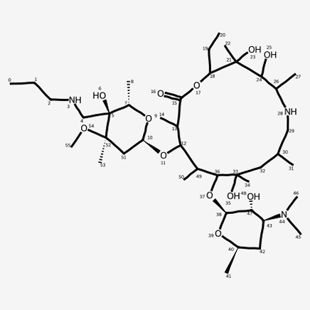 CCCNC[C@]1(O)[C@H](C)O[C@@H](OC2C(C)C(=O)OC(CC)C(C)(O)C(O)C(C)NCC(C)CC(C)(O)C(O[C@@H]3O[C@H](C)C[C@H](N(C)C)[C@H]3O)C2C)C[C@@]1(C)OC